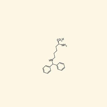 N[C@@H](CCCCNC(c1ccccc1)c1ccccc1)C(=O)O